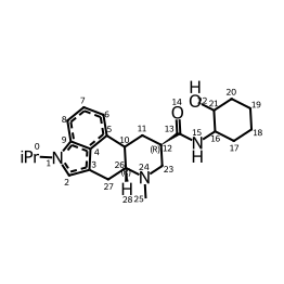 CC(C)n1cc2c3c(cccc31)C1C[C@@H](C(=O)NC3CCCCC3O)CN(C)[C@@H]1C2